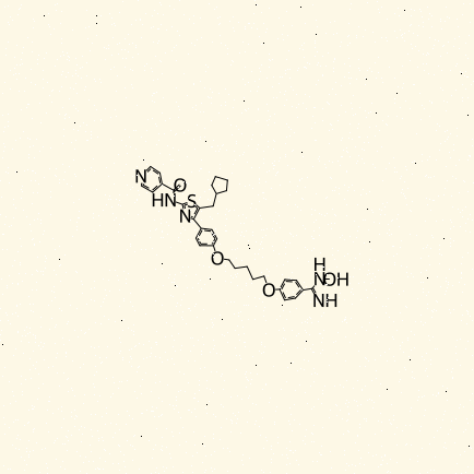 N=C(NO)c1ccc(OCCCCCOc2ccc(-c3nc(NC(=O)c4ccncc4)sc3CC3CCCC3)cc2)cc1